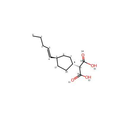 CCC/C=C/[C@H]1CC[C@H](C(C(=O)O)C(=O)O)CC1